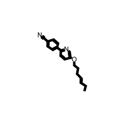 CCC=CCCCOc1ccc(-c2ccc(C#N)cc2)nc1